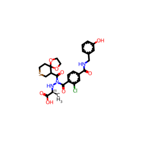 C[C@H](NN(C(=O)c1ccc(C(=O)NCc2cccc(O)c2)cc1Cl)C(=O)C1CSCCC12OCCO2)C(=O)O